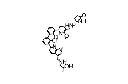 COc1nc(-c2cccc(-c3cccc(-c4ccc5c(CNC[C@H](C)O)cn(C)c5n4)c3Cl)c2Cl)ccc1CNC[C@@H]1CCC(=O)N1